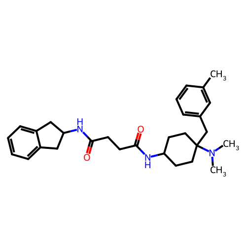 Cc1cccc(CC2(N(C)C)CCC(NC(=O)CCC(=O)NC3Cc4ccccc4C3)CC2)c1